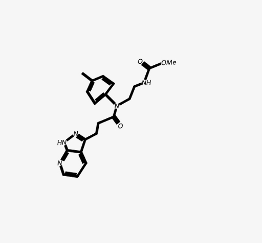 COC(=O)NCCN(C(=O)CCc1n[nH]c2ncccc12)c1ccc(C)cc1